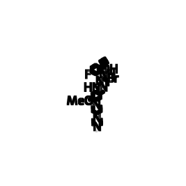 COc1cc(Nc2ncc(Br)c(Nc3cc(F)ccc3C3(O)CCC3)n2)c(C)cc1N1CCC(N2CCN(C)CC2)CC1